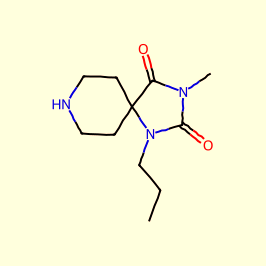 CCCN1C(=O)N(C)C(=O)C12CCNCC2